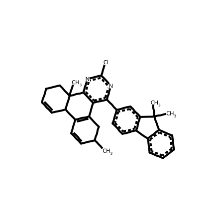 CC1C=CC2=C(C1)c1c(-c3ccc4c(c3)C(C)(C)c3ccccc3-4)nc(Cl)nc1C1(C)CCC=CC21